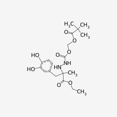 CCOC(=O)C(C)(Cc1ccc(O)c(O)c1)NNC(=O)OCOC(=O)C(C)(C)C